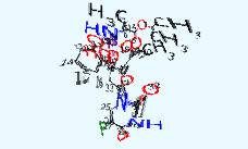 CC(C)OC(=O)[C@H](C)N[P@@](=O)(Oc1ccccc1)O[C@@H](C)[C@H]1O[C@@H](n2cc(F)c(=O)[nH]c2=O)C[C@@H]1O